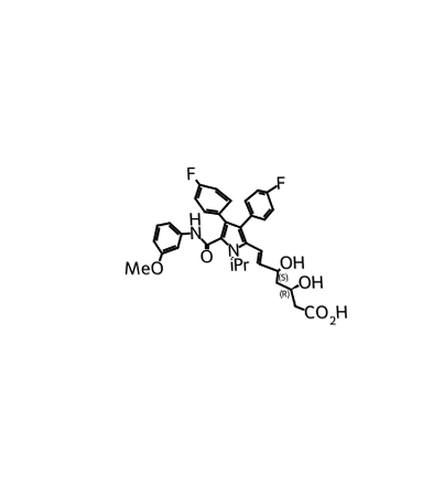 COc1cccc(NC(=O)c2c(-c3ccc(F)cc3)c(-c3ccc(F)cc3)c(C=C[C@@H](O)C[C@@H](O)CC(=O)O)n2C(C)C)c1